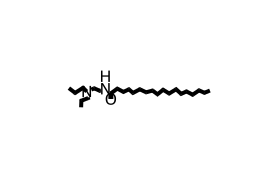 CCCCCCCCCCCCCCCCCC(=O)NCCN(CCC)CCC